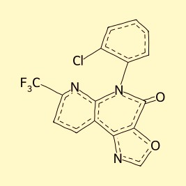 O=c1c2ocnc2c2ccc(C(F)(F)F)nc2n1-c1ccccc1Cl